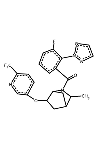 CC1C2CC(Oc3ccc(C(F)(F)F)nc3)C(C2)N1C(=O)c1cccc(F)c1-n1nccn1